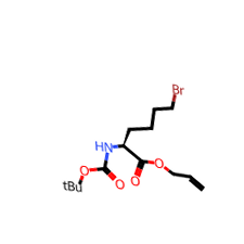 C=CCOC(=O)[C@H](CCCCBr)NC(=O)OC(C)(C)C